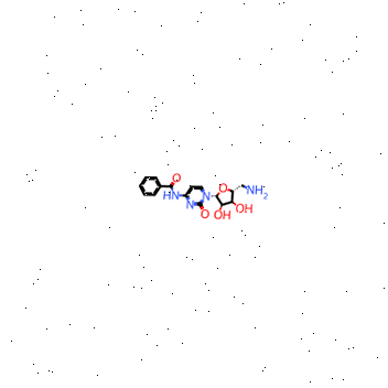 NC[C@H]1O[C@@H](n2ccc(NC(=O)c3ccccc3)nc2=O)[C@H](O)[C@@H]1O